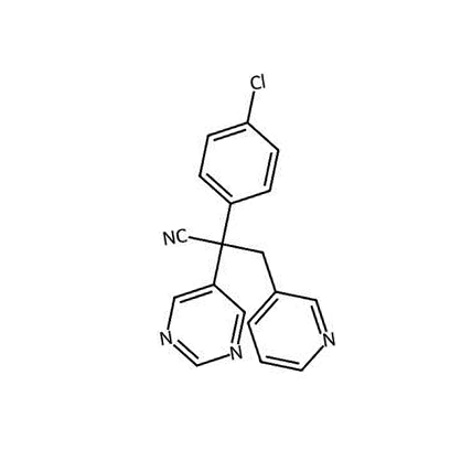 N#CC(Cc1cccnc1)(c1ccc(Cl)cc1)c1cncnc1